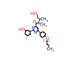 C/C=C/C(F)(F)Oc1ccc(-c2cc(C(=O)[C@@H](C)C(C)CCO)nc(-c3cc(O)cc(F)c3)n2)cc1